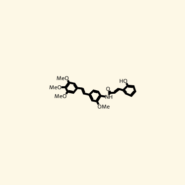 COc1cc(C=Cc2cc(OC)c(OC)c(OC)c2)ccc1NC(=O)/C=C/c1ccccc1O